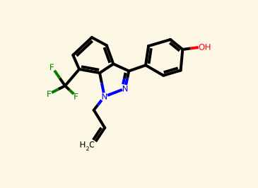 C=CCn1nc(-c2ccc(O)cc2)c2cccc(C(F)(F)F)c21